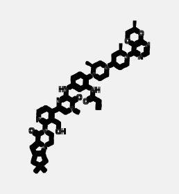 C=CC(=O)Nc1cc(Nc2nc(-c3ccnc(N4CCn5c(cc6c5CC(C)(C)C6)C4=O)c3CO)cn(C)c2=O)ccc1N1CCN(C2CCN(c3ncnc4c3OC[C@@H](C)O4)[C@H](C)C2)C[C@@H]1C